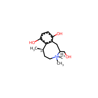 C[C@@H]1CC[N+](C)(C)C(CO)Cc2c(O)ccc(O)c21